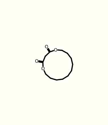 O=C1CC(=O)OCCCCCCCCCCO1